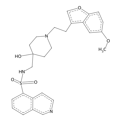 COc1ccc2occ(CCN3CCC(O)(CNS(=O)(=O)c4cccc5cnccc45)CC3)c2c1